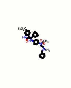 CCOC(=O)c1ccc2c(c1)NC(=O)/C2=C(\Nc1ccc(N(CCN(C)Cc2ccccc2)S(C)(=O)=O)cc1)c1ccccc1